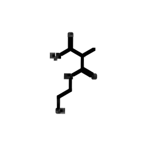 C[C](C(N)=O)C(=O)NCCO